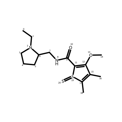 CCN1CCCC1CNC(=O)C1=C(OC)C(C)=C(C)S1=S